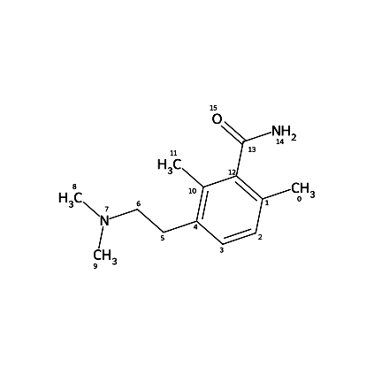 Cc1ccc(CCN(C)C)c(C)c1C(N)=O